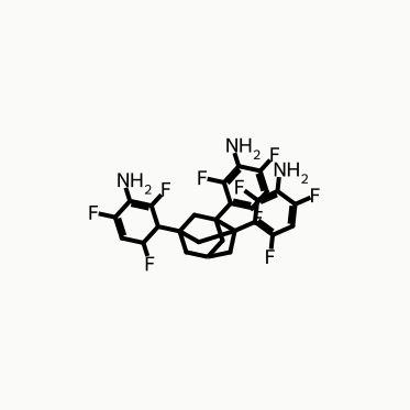 NC1=C(F)C(C23CC4CC(c5c(F)cc(F)c(N)c5F)(C2)C(c2c(F)cc(F)c(N)c2F)(C4)C3)C(F)C=C1F